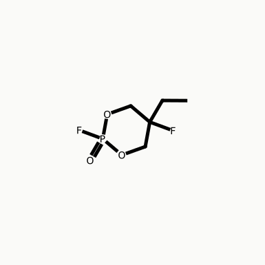 CCC1(F)COP(=O)(F)OC1